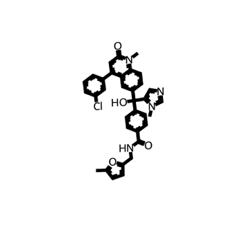 Cc1ccc(CNC(=O)c2ccc(C(O)(c3ccc4c(c3)c(-c3cccc(Cl)c3)cc(=O)n4C)c3cncn3C)cc2)o1